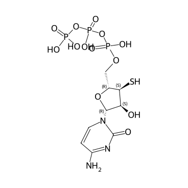 Nc1ccn([C@@H]2O[C@H](COP(=O)(O)OP(=O)(O)OP(=O)(O)O)[C@@H](S)[C@H]2O)c(=O)n1